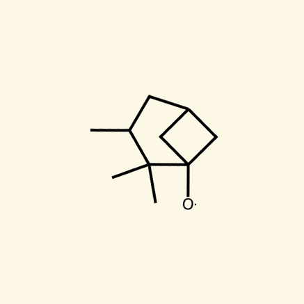 CC1CC2CC([O])(C2)C1(C)C